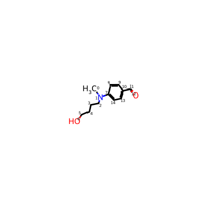 CN(CCCCO)c1ccc(C=O)cc1